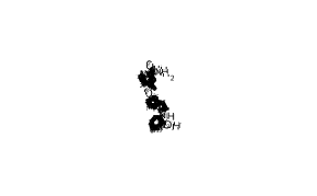 NC(=O)c1cc(COc2ccc3nc(N[C@@H]4CCCC[C@H]4O)ccc3c2)ccn1